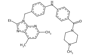 CCc1nc2c(C)cc(C)nc2n1Cc1ccc(Nc2ccc(C(=O)N3CCN(C)CC3)cc2)cc1